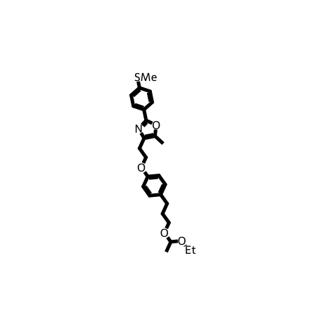 CCOC(C)OCCCc1ccc(OCCc2nc(-c3ccc(SC)cc3)oc2C)cc1